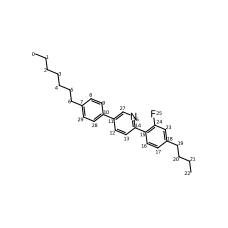 CCCCCCCc1ccc(-c2ccc(-c3ccc(CCCC)cc3F)nc2)cc1